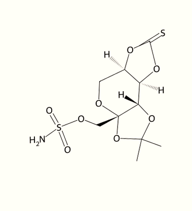 CC1(C)O[C@H]2[C@@H]3OC(=S)O[C@@H]3CO[C@@]2(COS(N)(=O)=O)O1